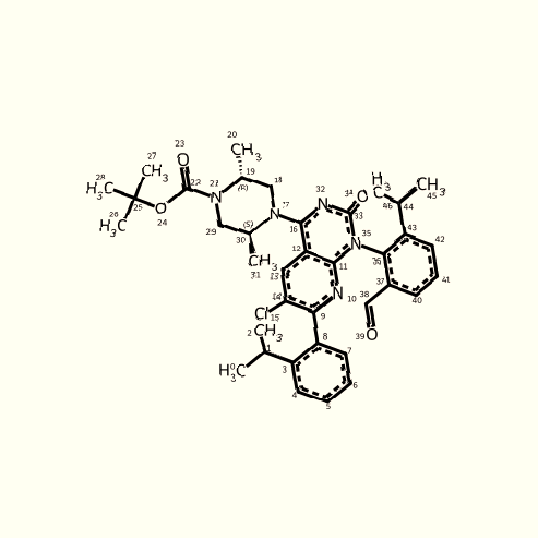 CC(C)c1ccccc1-c1nc2c(cc1Cl)c(N1C[C@@H](C)N(C(=O)OC(C)(C)C)C[C@@H]1C)nc(=O)n2-c1c(C=O)cccc1C(C)C